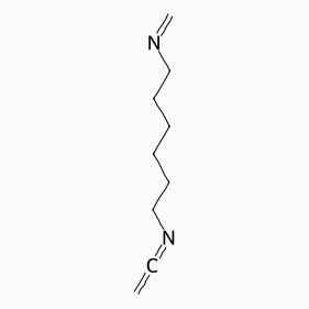 C=C=NCCCCCCN=C